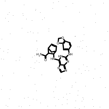 NC(=O)C1C2C=CC(C2)C1Nc1[nH]c(Nc2ccc3c(c2)OCO3)nc2ncnc1-2